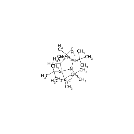 CC(C)(C)N([SiH](C(C)(C)C)C(C)(C)C)[Si](C(C)(C)C)(C(C)(C)C)C(C)(C)C